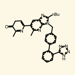 CCCCc1nc2cc(C3=CCC(=O)C(C)=N3)c(C)nc2n1Cc1ccc(-c2ccccc2-c2nnn[nH]2)cc1